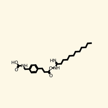 CCCCCCCCCCCC(=N)NOC(=O)CCc1ccc(CNC(=O)O)cc1